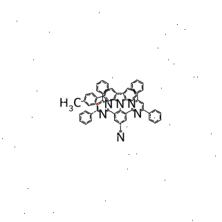 Cc1ccc(-c2ccc3c4ccccc4n(-c4c(-c5nc(-c6ccccc6)cc(-c6ccccc6)n5)cc(C#N)cc4-c4nc(-c5ccccc5)cc(-c5ccccc5)n4)c3c2)cc1